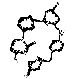 CCc1cc(Nc2ccc(Cn3cc(Cl)cn3)cc2)nc(-c2cccc(-n3ccc(N)nc3=O)c2)n1